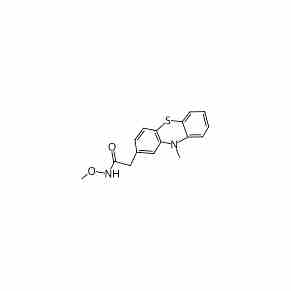 CONC(=O)Cc1ccc2c(c1)N(C)c1ccccc1S2